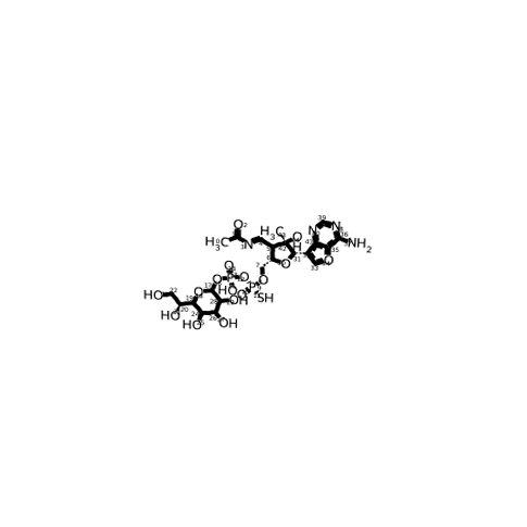 CC(=O)/N=C/C1[C@@H](COP(=O)(S)OP(=O)(O)OC2OC([C@@H](O)CO)C(O)C(O)C2O)O[C@@H](c2coc3c(N)ncnc23)[C@]1(C)O